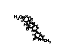 Cc1cn2cc(-c3ccc4nc(C5(F)CCN(C)CC5)[nH]c(=O)c4c3)cc(F)c2n1